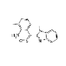 Cc1cccc(C(=S=O)c2nc3ccccc3[nH]2)c1N